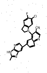 Cc1nc2cc(-c3ccc4ncc(C#N)c(N5CCc6cc(F)c(Cl)cc65)c4c3)cnc2[nH]1